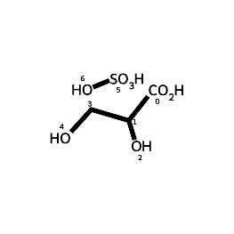 O=C(O)C(O)CO.O=S(=O)(O)O